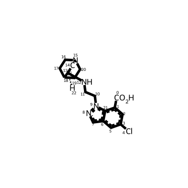 O=C(O)c1cc(Cl)cc2cnn(CCN[C@@H]3CN4CCC3CC4)c12